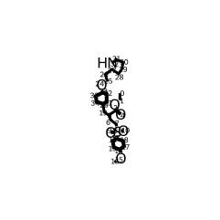 CCOC(=O)C(CCS(=O)(=O)c1ccc(OC)cc1)Cc1ccc(OCCC2CCCCN2)cc1